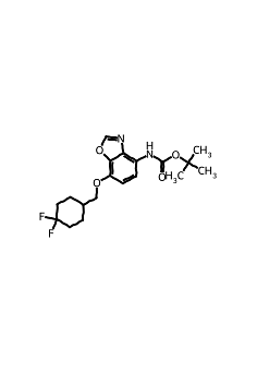 CC(C)(C)OC(=O)Nc1ccc(OCC2CCC(F)(F)CC2)c2ocnc12